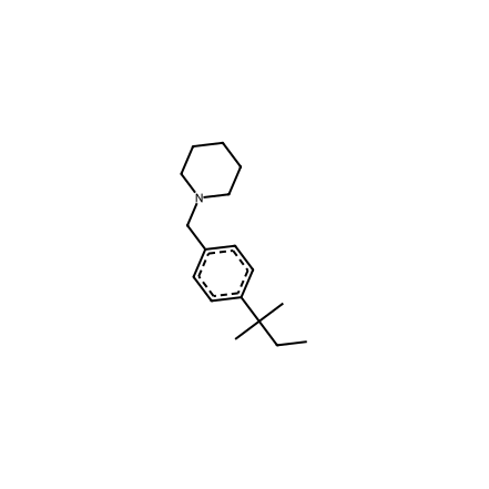 CCC(C)(C)c1ccc(CN2CCCCC2)cc1